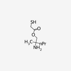 CCCC(C)(N)COC(=O)CS